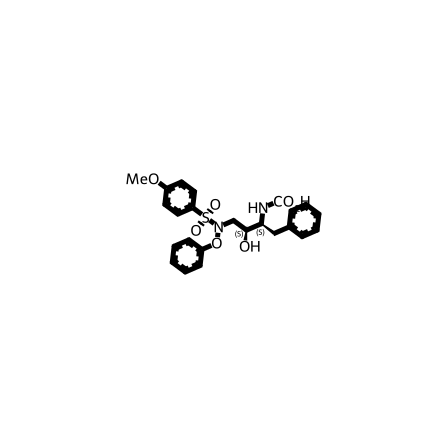 COc1ccc(S(=O)(=O)N(C[C@H](O)[C@H](Cc2ccccc2)NC(=O)O)Oc2ccccc2)cc1